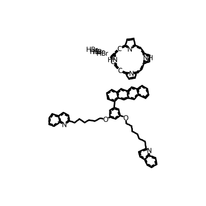 Br.Br.Br.Br.C1=Cc2cc3ccc(cc4nc(cc5ccc(cc1n2)[nH]5)C=C4)[nH]3.c1ccc2cc3cc4c(-c5cc(OCCCCCCc6ccc7ccccc7n6)cc(OCCCCCCc6ccc7ccccc7n6)c5)cccc4cc3cc2c1